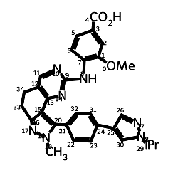 COc1cc(C(=O)O)ccc1Nc1ncc2c(n1)-c1c(nn(C)c1-c1ccc(-c3cnn(C(C)C)c3)cc1)CC2